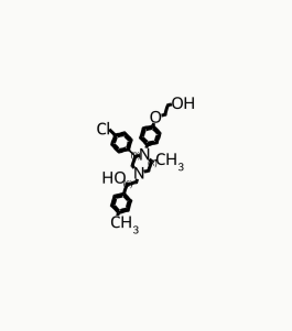 Cc1ccc([C@H](O)CN2C[C@@H](C)N(c3ccc(OCCO)cc3)[C@H](c3ccc(Cl)cc3)C2)cc1